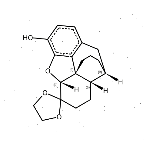 Oc1ccc2c3c1O[C@H]1C4(CC[C@H]5[C@H](CCC[C@@]351)C2)OCCO4